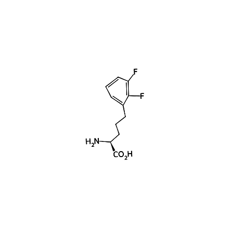 N[C@@H](CCCc1cccc(F)c1F)C(=O)O